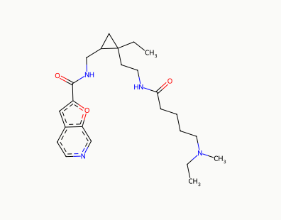 CCN(C)CCCCC(=O)NCCC1(CC)CC1CNC(=O)c1cc2ccncc2o1